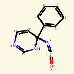 O=C=NC1(c2ccccc2)C=CN=CN1